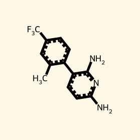 Cc1cc(C(F)(F)F)ccc1-c1ccc(N)nc1N